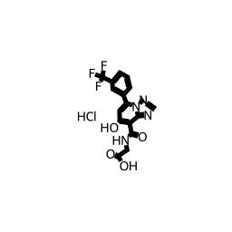 Cl.O=C(O)CNC(=O)c1c(O)cc(-c2cccc(C(F)(F)F)c2)n2ncnc12